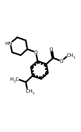 COC(=O)c1ccc(C(C)C)cc1OC1CCNCC1